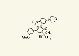 CCC(C)(C)c1cc(-c2cccc(OC)c2)nn(-c2cc(N3CCOCC3)ccc2[N+](=O)[O-])c1=O